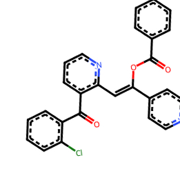 O=C(OC(=Cc1ncccc1C(=O)c1ccccc1Cl)c1ccncc1)c1ccccc1